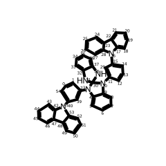 c1cc(N2c3ccccc3N(c3cccc(-n4c5ccccc5c5ccccc54)c3)C23Nc2ccccc2N3)cc(-n2c3ccccc3c3ccccc32)c1